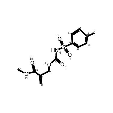 C=C(COC(=O)NS(=O)(=O)c1ccc(C)cc1)C(=O)OC